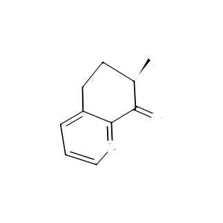 C[C@@H]1CCc2cccnc2C1=O